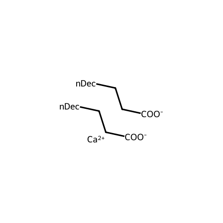 CCCCCCCCCCCCC(=O)[O-].CCCCCCCCCCCCC(=O)[O-].[Ca+2]